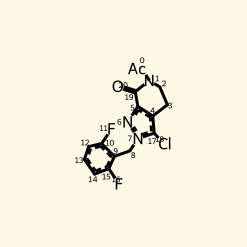 CC(=O)N1CCc2c(nn(Cc3c(F)cccc3F)c2Cl)C1=O